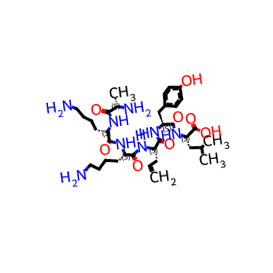 C=CC[C@H](NC(=O)[C@H](CCCCN)NC(=O)[C@H](CCCCN)NC(=O)[C@H](C)N)C(=O)N[C@@H](Cc1ccc(O)cc1)C(=O)N[C@@H](CC(C)C)C(=O)O